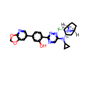 Oc1cc(-c2cnc3c(c2)OCO3)ccc1-c1ncc(N(C2CC2)[C@H]2C[C@@H]3CC[C@@H](N3)[C@H]2F)nn1